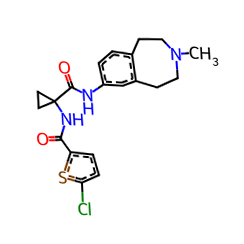 CN1CCc2ccc(NC(=O)C3(NC(=O)c4ccc(Cl)s4)CC3)cc2CC1